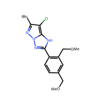 COCc1ccc(-c2nn3nc(C(C)(C)C)c(Cl)c3[nH]2)c(COC)c1